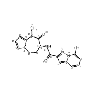 CCc1cccc2nc(C(=O)N[C@H]3CCn4nccc4N(C)C3=O)nn12